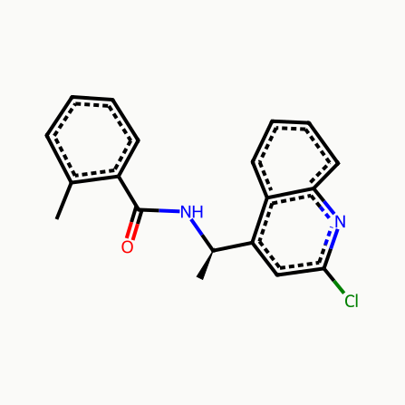 Cc1ccccc1C(=O)N[C@H](C)c1cc(Cl)nc2ccccc12